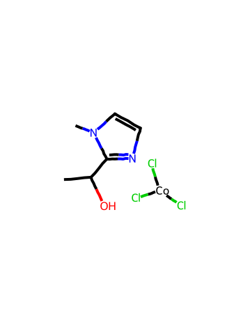 CC(O)c1nccn1C.[Cl][Co]([Cl])[Cl]